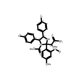 CCOc1cc(OC)ccc1C1(C(NC)C(N)=O)NC(c2ccc(Cl)cc2)C(c2ccc(Cl)cc2)N1C(=O)OC